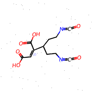 O=C=NCCC(CCN=C=O)/C(=C/C(=O)O)C(=O)O